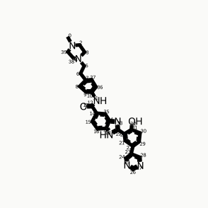 CN1CCN(CCc2ccc(NC(=O)c3ccc4[nH]c(-c5cc(-c6cncnc6)ccc5O)nc4c3)cc2)CC1